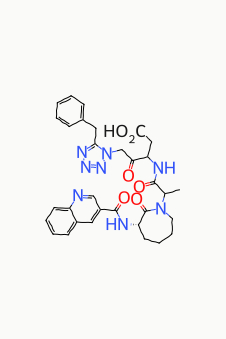 CC(C(=O)NC(CC(=O)O)C(=O)Cn1nnnc1Cc1ccccc1)N1CCCC[C@H](NC(=O)c2cnc3ccccc3c2)C1=O